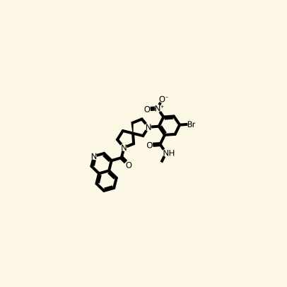 CNC(=O)C1=C(N2CC[C@@]3(CCN(C(=O)c4cncc5ccccc45)C3)C2)C([N+](=O)[O-])=CC(Br)C1